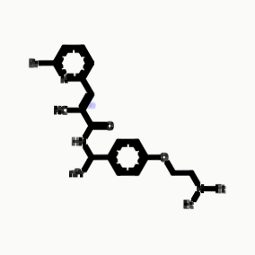 CCCC(NC(=O)/C(C#N)=C/c1cccc(Br)n1)c1ccc(OCCN(CC)CC)cc1